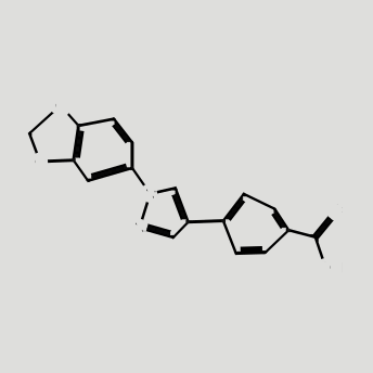 O=C(O)c1ccc(-c2cnn(-c3ccc4c(c3)OCO4)c2)cc1